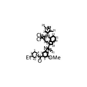 CC[C@@H]1CCCN(C(=O)c2cc(OC)c3c(c2)nc(-c2cc4cccc(Nc5cn(C)nc5C)c4n2CC2CC2(Cl)Cl)n3C)C1